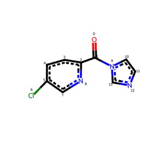 O=C(c1ccc(Cl)cn1)n1ccnc1